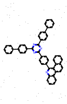 c1ccc(-c2ccc(-c3nc(-c4ccc(-c5ccccc5)cc4)nc(-c4ccc(-c5nc6ccccc6c6ccc7ccccc7c56)cc4)n3)cc2)cc1